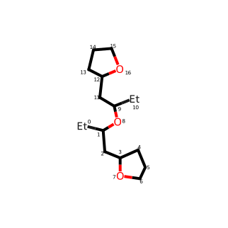 CCC(CC1CCCO1)OC(CC)CC1CCCO1